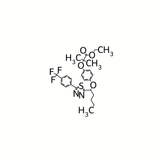 CCCCC(Oc1ccc(OC(C)(C)C(=O)OCC)cc1)c1nnc(-c2ccc(C(F)(F)F)cc2)s1